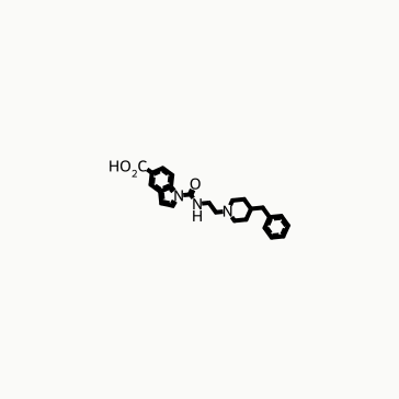 O=C(O)c1ccc2c(ccn2C(=O)NCCN2CCC(Cc3ccccc3)CC2)c1